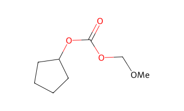 COCOC(=O)OC1CCCC1